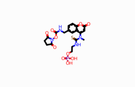 CN(C(=S)NCCOP(=O)(O)O)c1cc(=O)oc2ccc(CNC(=O)ON3C(=O)CCC3=O)cc12